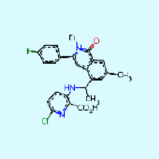 CCn1c(-c2ccc(F)cc2)cc2c(C(C)Nc3ccc(Cl)nc3C(=O)O)cc(C)cc2c1=O